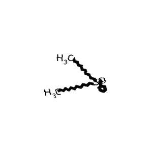 CCCCCCCCCCCCC[S+](CCCCCCCCCCCC)C(=O)c1ccccc1